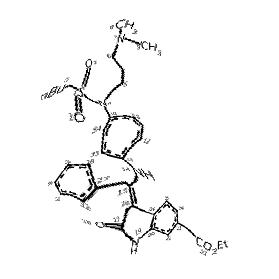 CCCCS(=O)(=O)N(CCN(C)C)c1ccc(NC(=C2C(=O)Nc3cc(C(=O)OCC)ccc32)c2ccccc2)cc1